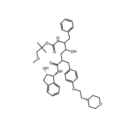 COCC(C)(C)OC(=O)NC(Cc1ccccc1)C(O)CC(Cc1ccc(OCCN2CCOCC2)cc1)C(=O)N[C@H]1c2ccccc2C[C@@H]1O